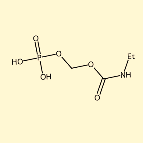 CCNC(=O)OCOP(=O)(O)O